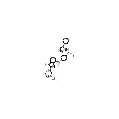 Cc1ccc(Nc2cccc3[nH]c(N4CCO[C@@H](C)C4)nc23)cc1-c1ncc(-c2ccccc2)[nH]1